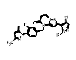 Cc1cc(C(F)(F)F)nn1-c1ccc(CN2C(=O)CCn3nc(-c4c(Cl)cnn4C(C)C)cc32)cc1F